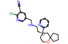 N#Cc1cc(CNCC[C@]2(c3ccccn3)CCOC3(CCCC3)C2)cnc1Cl